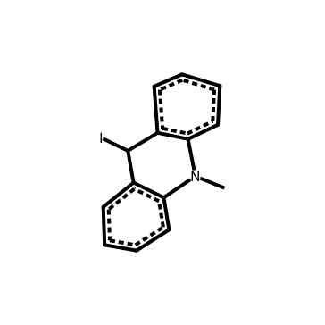 CN1c2ccccc2C(I)c2ccccc21